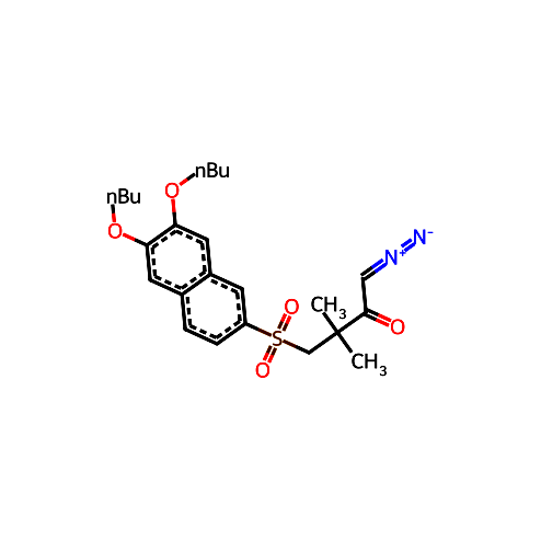 CCCCOc1cc2ccc(S(=O)(=O)CC(C)(C)C(=O)C=[N+]=[N-])cc2cc1OCCCC